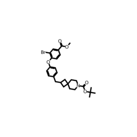 COC(=O)c1ccc(Oc2ccc(CC3CC4(CCN(C(=O)OC(C)(C)C)CC4)C3)cc2)c(Br)c1